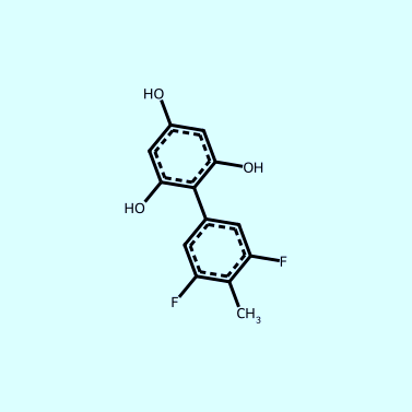 Cc1c(F)cc(-c2c(O)cc(O)cc2O)cc1F